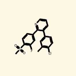 Cc1cc(-c2cccnc2-c2ccc(S(C)(=O)=O)c(F)c2)ccc1Cl